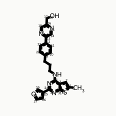 Cc1cc2c(NCCCc3ccc(-c4cnc(CO)cn4)cc3)nc(-c3ccoc3)nc2s1